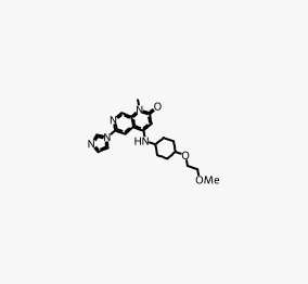 COCCOC1CCC(Nc2cc(=O)n(C)c3cnc(-n4ccnc4)cc23)CC1